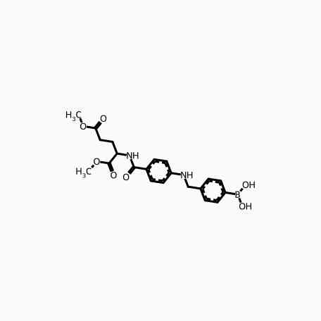 COC(=O)CCC(NC(=O)c1ccc(NCc2ccc(B(O)O)cc2)cc1)C(=O)OC